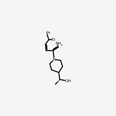 CCC(/C=C\C(=C/N)N1CCC([C@H](C)O)CC1)C(C)C